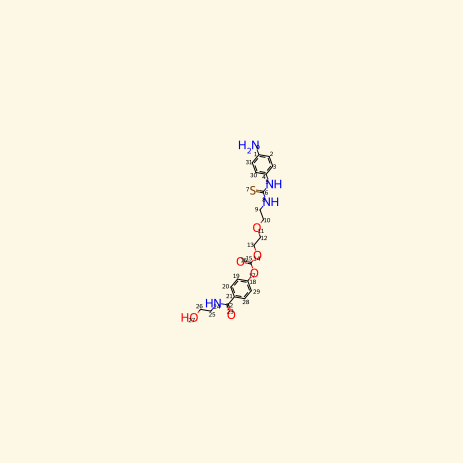 Nc1ccc(NC(=S)NCCOCCOC(=O)Oc2ccc(C(=O)NCCO)cc2)cc1